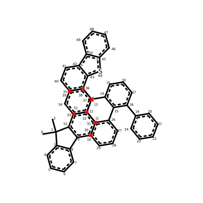 CC1(C)c2ccccc2-c2ccc(N(c3cccc(-c4ccccc4)c3-c3ccccc3-c3ccccc3)c3cccc4c3sc3ccccc34)cc21